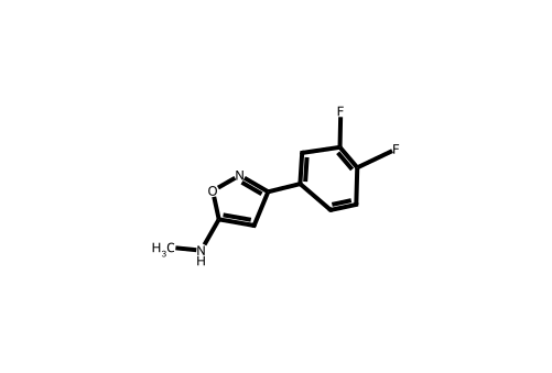 CNc1cc(-c2ccc(F)c(F)c2)no1